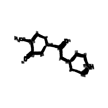 CN1CCN(C(=O)CN2CCNCC2)CC1=O